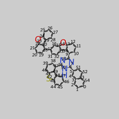 c1ccc2cc(C3=NC(c4cccc5oc6cc(-c7cccc8oc9ccccc9c78)ccc6c45)=NC(c4cccc5sc6ccccc6c45)N3)ccc2c1